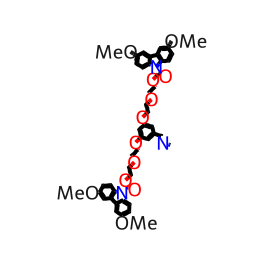 COc1ccc2c(c1)c1cc(OC)ccc1n2C(=O)OCCOCCOc1cc(CN(C)C)cc(OCCOCCOC(=O)n2c3ccc(OC)cc3c3cc(OC)ccc32)c1